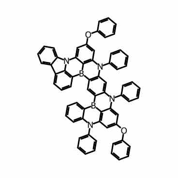 c1ccc(Oc2cc3c4c(c2)N(c2ccccc2)c2cc5c(cc2B4c2ccccc2N3c2ccccc2)B2c3c(cc(Oc4ccccc4)cc3-n3c4ccccc4c4cccc2c43)N5c2ccccc2)cc1